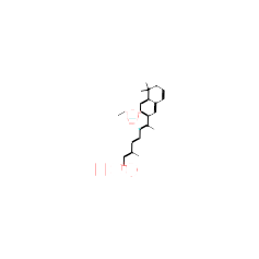 CCOc1cc2c(cc1/C(C)=C(F)/C=C/C(C)=C/C(=O)O)C=CCC2(C)C